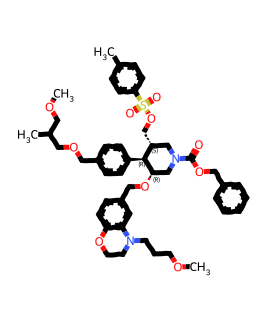 COCCCN1CCOc2ccc(CO[C@H]3CN(C(=O)OCc4ccccc4)C[C@@H](COS(=O)(=O)c4ccc(C)cc4)[C@@H]3c3ccc(COCC(C)COC)cc3)cc21